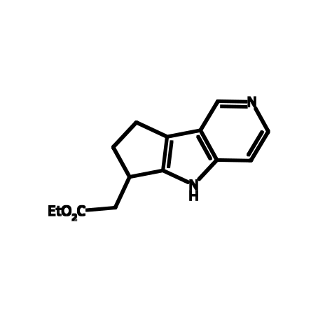 CCOC(=O)CC1CCc2c1[nH]c1ccncc21